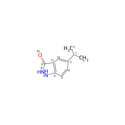 CC(C)c1ccc2[nH][nH]c(=O)c2c1